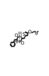 CN(C)CCOc1csc(/C=c2\[nH]c(=O)/c(=C/c3ccccc3)[nH]c2=O)c1